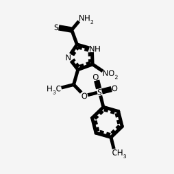 Cc1ccc(S(=O)(=O)OC(C)c2nc(C(N)=S)[nH]c2[N+](=O)[O-])cc1